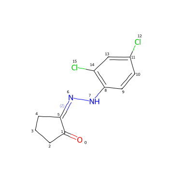 O=C1CCC/C1=N/Nc1ccc(Cl)cc1Cl